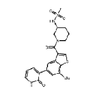 CC(C)(C)c1cc(-c2ccc[nH]c2=O)cc2c(C(=O)N3CCC[C@H](NS(C)(=O)=O)C3)coc12